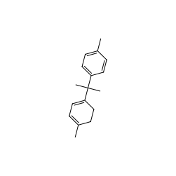 CC1=CC=C(C(C)(C)c2ccc(C)cc2)CC1